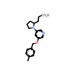 Cc1ccc(COc2cncc(N3CCCC3CCC(=O)O)c2)cc1